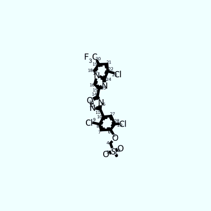 CS(=O)(=O)COc1cc(Cl)c(-c2noc(-c3cn4cc(C(F)(F)F)cc(Cl)c4n3)n2)cc1Cl